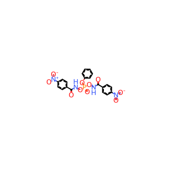 O=C(NOP(=O)(ONC(=O)c1ccc([N+](=O)[O-])cc1)Oc1ccccc1)c1ccc([N+](=O)[O-])cc1